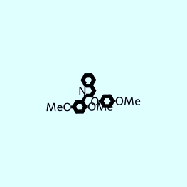 COc1ccc(Oc2cc3ccccc3nc2-c2cc(OC)ccc2OC)cc1